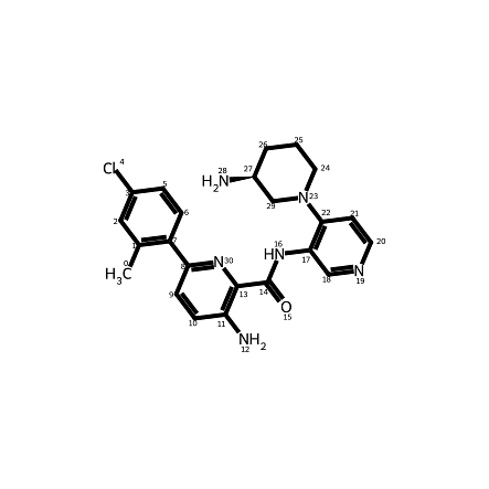 Cc1cc(Cl)ccc1-c1ccc(N)c(C(=O)Nc2cnccc2N2CCC[C@H](N)C2)n1